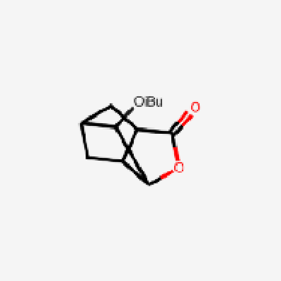 CC(C)COC1C2CC3C(=O)OC1C3C2